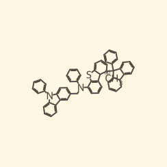 C[C@@]1(C2(c3ccccc3)C3=CC=CCC3c3ccccc32)C=CC=C2Sc3c(cccc3N(Cc3ccc4c(c3)c3ccccc3n4-c3ccccc3)c3ccccc3)C21